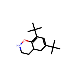 CC(C)(C)C1=CC(C(C)(C)C)=C2ONCCC2C1